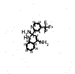 NC1=CC(N)(c2cc(C(F)(F)F)ccn2)Nc2ccccc21